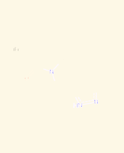 Cc1n[nH]c2c1CCN(C(=O)CC(C)C)C2